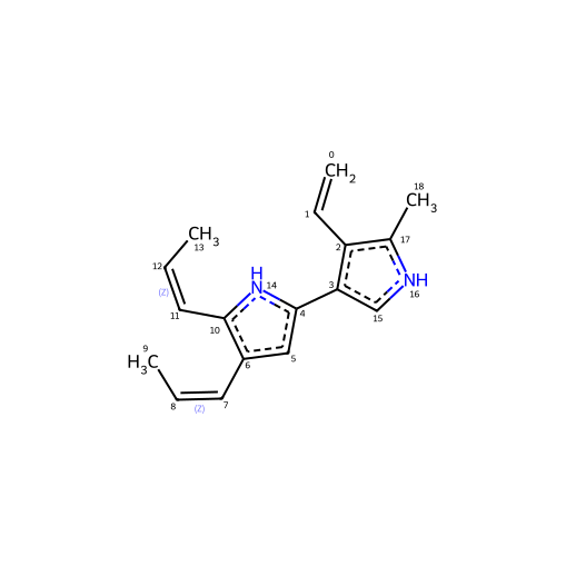 C=Cc1c(-c2cc(/C=C\C)c(/C=C\C)[nH]2)c[nH]c1C